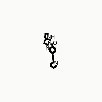 O=c1c2ccc(C#Cc3ccccn3)cc2nc2n1CC1(CCCN1)CC2